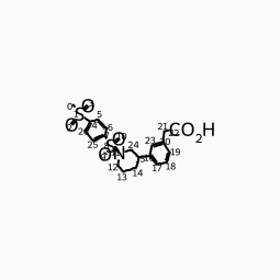 CS(=O)(=O)c1ccc(S(=O)(=O)N2CCCC(c3cccc(CC(=O)O)c3)C2)cc1